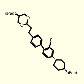 CCCCCC1COC(CCc2ccc(-c3ccc([C@H]4CC[C@H](CCCCC)CC4)cc3F)cc2)OC1